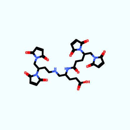 O=C(O)CCC(CNCCC(CN1C(=O)C=CC1=O)N1C(=O)C=CC1=O)NC(=O)CCC(CN1C(=O)C=CC1=O)N1C(=O)C=CC1=O